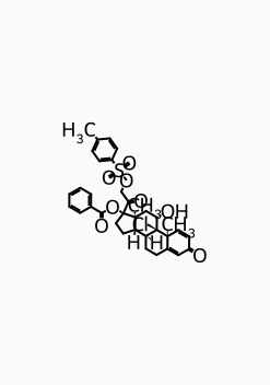 Cc1ccc(S(=O)(=O)OCC(=O)[C@@]2(OC(=O)c3ccccc3)CC[C@H]3[C@@H]4CCC5=CC(=O)C=C[C@]5(C)[C@@]4(Cl)[C@@H](O)C[C@@]32C)cc1